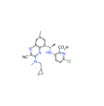 Cc1cc([C@@H](C)Nc2ccc(Cl)nc2C(=O)O)c2nc(N(C)CC3CC3)c(C#N)nc2c1